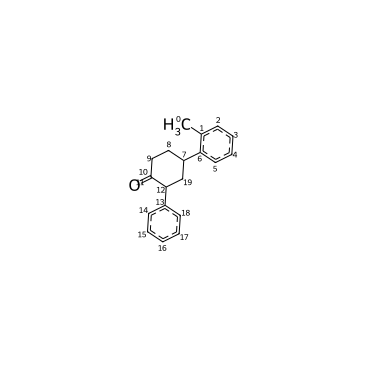 Cc1ccccc1C1CCC(=O)C(c2ccccc2)C1